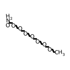 CCCOCCOCCOCCOCCOCCOCCOCC(N)=O